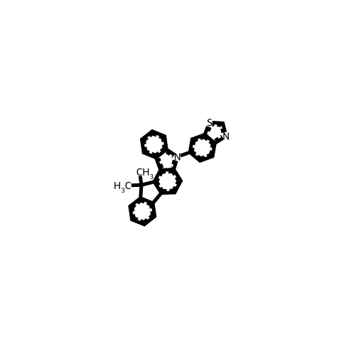 CC1(C)c2ccccc2-c2ccc3c(c21)c1ccccc1n3-c1ccc2ncsc2c1